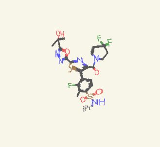 Cc1c(S(=O)(=O)NC(C)C)ccc(-c2sc(-c3nnc(C(C)(C)O)o3)nc2C(=O)N2CCC(F)(F)CC2)c1F